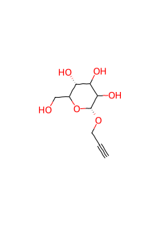 C#CCO[C@@H]1OC(CO)[C@H](O)C(O)C1O